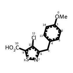 COc1ccc(Cc2nsc(C(=O)O)c2Cl)cc1